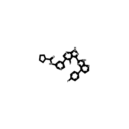 O=C(Nc1cncc(-c2cnc3[nH]nc(-c4nc5c(-c6ccc(F)cc6)ccnc5[nH]4)c3c2F)c1)C1CCCC1